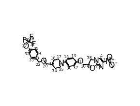 O=[N+]([O-])c1cn2c(n1)OC(COc1ccc(N3CCC(COCc4ccc(OC(F)(F)F)cc4)CC3)cc1)C2